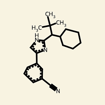 CC(C)(C)C(c1nc(-c2cccc(C#N)c2)c[nH]1)C1CCCCC1